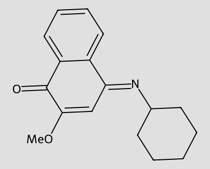 COC1=CC(=NC2CCCCC2)c2ccccc2C1=O